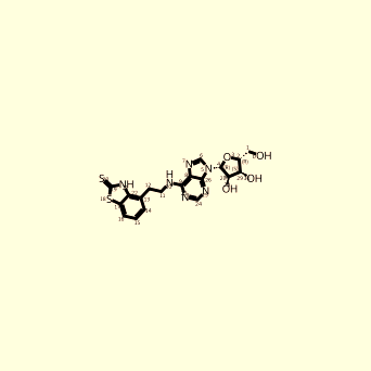 OC[C@H]1O[C@@H](n2cnc3c(NCCc4cccc5sc(=S)[nH]c45)ncnc32)[C@H](O)[C@@H]1O